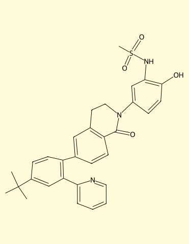 CC(C)(C)c1ccc(-c2ccc3c(c2)CCN(c2ccc(O)c(NS(C)(=O)=O)c2)C3=O)c(-c2ccccn2)c1